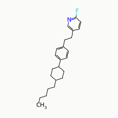 CCCCCC1CCC(c2ccc(CCc3ccc(F)nc3)cc2)CC1